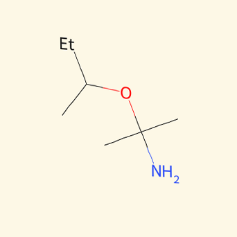 CCC(C)OC(C)(C)N